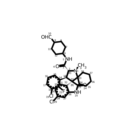 CN1[C@@H](C(=O)NC2CCC(C=O)CC2)[C@H](c2cccc(Cl)c2F)[C@]2(C(=O)Nc3cc(Cl)ccc32)C12CCCCC2